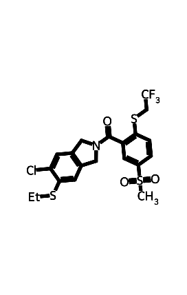 CCSc1cc2c(cc1Cl)CN(C(=O)c1cc(S(C)(=O)=O)ccc1SCC(F)(F)F)C2